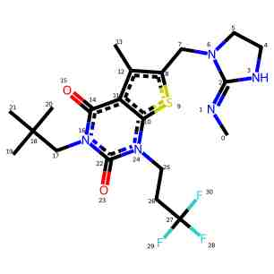 C/N=C1\NCCN1Cc1sc2c(c1C)c(=O)n(CC(C)(C)C)c(=O)n2CCC(F)(F)F